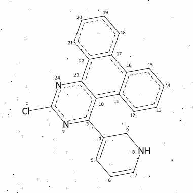 Clc1nc(C2=CC=CNC2)c2c3ccccc3c3ccccc3c2n1